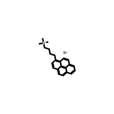 C[N+](C)(C)CCCCc1ccc2ccc3cccc4ccc1c2c34.[Br-]